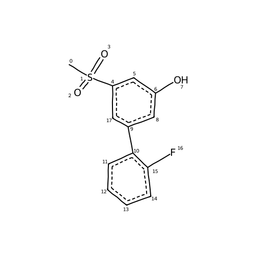 CS(=O)(=O)c1cc(O)cc(-c2ccccc2F)c1